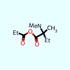 CCC(=O)OC(=O)C(C)(CC)NC